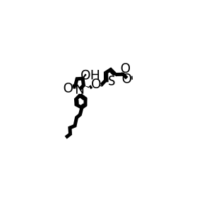 CCCCCCc1ccc(N2C(=O)C[C@@H](O)[C@@H]2COCc2ccc(C(=O)OC)s2)cc1